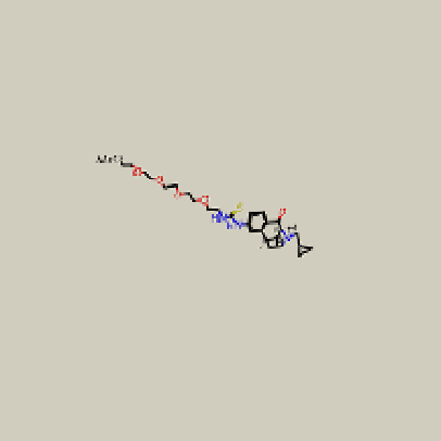 COCCOCCOCCOCCOCCNC(=S)Nc1ccc2c(c1)[C@]1(C)CCN(CC3CC3)[C@H](C2=O)[C@@H]1C